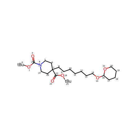 CC(C)(C)OC(=O)N1CCC(CCCCCCCOC2CCCCO2)(C(=O)OC(C)(C)C)CC1